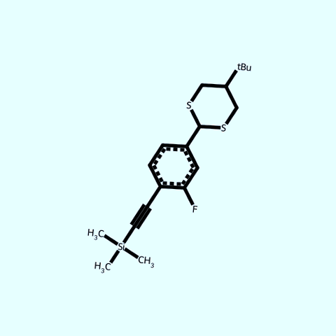 CC(C)(C)C1CSC(c2ccc(C#C[Si](C)(C)C)c(F)c2)SC1